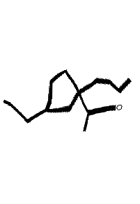 CCCC1(C(C)=O)CCC(CC)C1